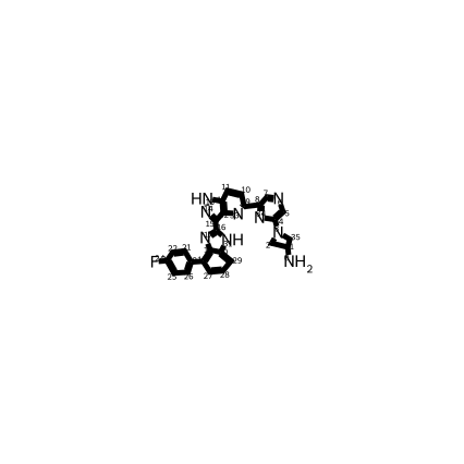 NC1CN(c2cncc(-c3ccc4[nH]nc(-c5nc6c(-c7ccc(F)cc7)cccc6[nH]5)c4n3)n2)C1